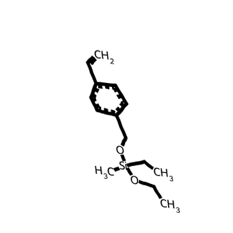 C=Cc1ccc(CO[Si](C)(CC)OCC)cc1